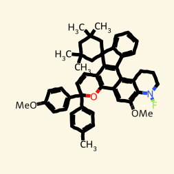 COc1ccc(C2(c3ccc(C)cc3)C=Cc3c4c(c5c6c(c(OC)cc5c3O2)N(F)CCC6)-c2ccccc2C42CC(C)(C)CC(C)(C)C2)cc1